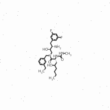 CCCCC(O)C[C@@H](NC(=O)NC)C(=O)N(Cc1cccc(CC)c1)C[C@@H](O)[C@@H](N)Cc1cc(F)cc(F)c1